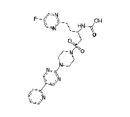 O=C(O)NC(CCc1ncc(F)cn1)CS(=O)(=O)N1CCN(c2ncc(-c3ccccn3)cn2)CC1